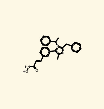 Cc1nc(Cc2ccccc2)n(C(C)c2ccccc2)c1-c1cccc(C=CC(=O)NO)c1